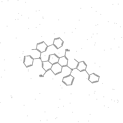 Cc1ccc(-c2ccccc2)cc1N(c1ccccc1)c1cc(C(C)(C)C)c2ccc3c(N(c4ccccc4)c4cc(-c5ccccc5)ccc4C)cc(C(C)(C)C)c4ccc1c2c34